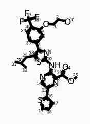 COCCOc1cc(-c2nc(Nc3ncc(-c4cccs4)nc3C(=O)OC)sc2CC(C)C)ccc1C(F)(F)F